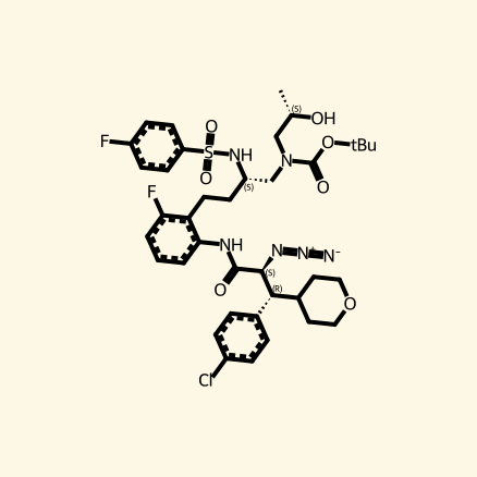 C[C@H](O)CN(C[C@H](CCc1c(F)cccc1NC(=O)[C@@H](N=[N+]=[N-])[C@@H](c1ccc(Cl)cc1)C1CCOCC1)NS(=O)(=O)c1ccc(F)cc1)C(=O)OC(C)(C)C